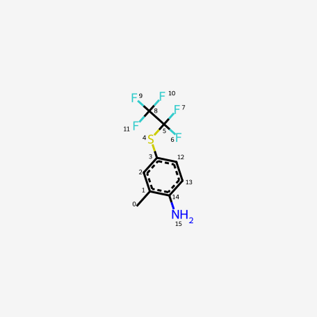 Cc1cc(SC(F)(F)C(F)(F)F)ccc1N